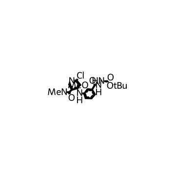 CNC(=O)c1cnc(Cl)cc1Nc1cccc(C(=O)NNC(=O)OC(C)(C)C)c1OC